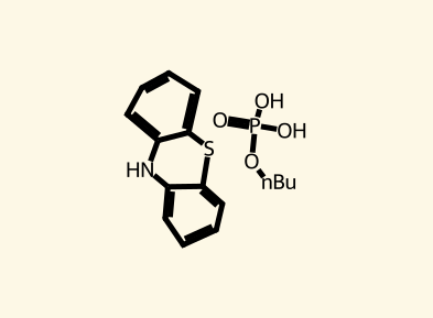 CCCCOP(=O)(O)O.c1ccc2c(c1)Nc1ccccc1S2